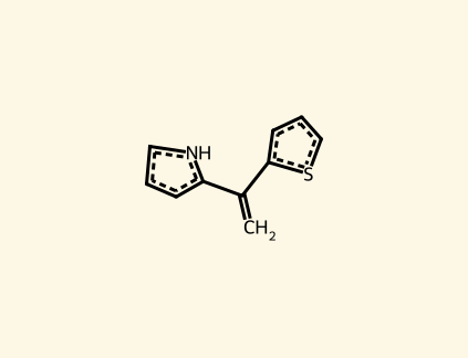 C=C(c1ccc[nH]1)c1cccs1